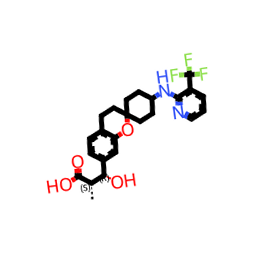 C[C@H](C(=O)O)[C@@H](O)c1ccc2c(c1)OC1(CC2)CCC(Nc2ncccc2C(F)(F)F)CC1